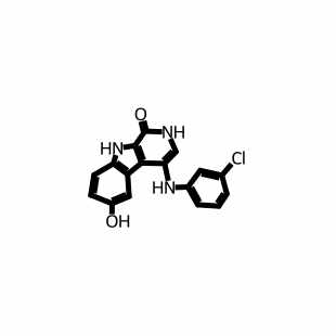 O=c1[nH]cc(Nc2cccc(Cl)c2)c2c1[nH]c1ccc(O)cc12